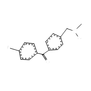 C[S+]([O-])Cc1ccc(C(=O)c2ccc(F)cc2)cc1